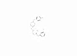 CC(=O)c1cccc(NC(=O)N[C@H](C)[C@H](O)CN2CCC(Cc3ccc(F)cc3)CC2)c1